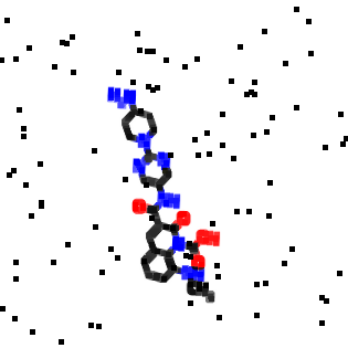 CNc1cccc2cc(C(=O)Nc3cnc(N4CCC(N)CC4)nc3)c(=O)n(C(=O)O)c12